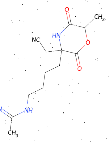 CC(=N)NCCCCC1(CC#N)NC(=O)C(C)OC1=O